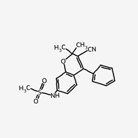 CC1(C)Oc2cc(NS(C)(=O)=O)ccc2C(c2ccccc2)=C1C#N